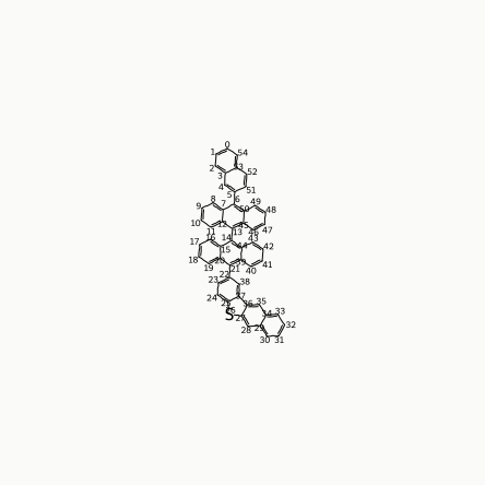 c1ccc2cc(-c3c4ccccc4c(-c4c5ccccc5c(-c5ccc6sc7cc8ccccc8cc7c6c5)c5ccccc45)c4ccccc34)ccc2c1